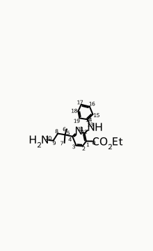 CCOC(=O)c1ccc(C(C)(C)CCN)nc1Nc1ccccc1